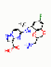 C[C@@H](Nc1ccn2ncc(C(=O)O)c2n1)c1cc(F)cc2c1O[C@H](CN)CO2